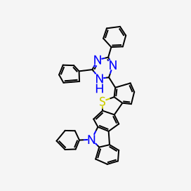 C1=CCCC(n2c3ccccc3c3cc4c(cc32)sc2c(C3N=C(c5ccccc5)N=C(c5ccccc5)N3)cccc24)=C1